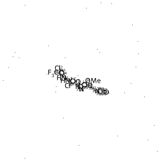 COc1cc2c(Oc3ccc(NCNc4ccc(Cl)c(C(F)(F)F)c4)c(Cl)c3)ncnc2cc1OCCCN1CCC2(CC1)COC2